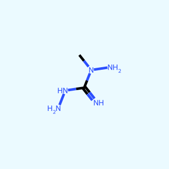 CN(N)C(=N)NN